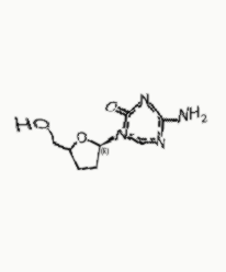 Nc1ncn([C@H]2CCC(CO)O2)c(=O)n1